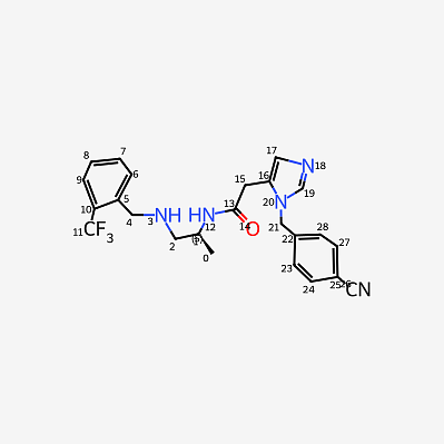 C[C@@H](CNCc1ccccc1C(F)(F)F)NC(=O)Cc1cncn1Cc1ccc(C#N)cc1